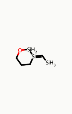 [SiH3]C=[Si]1CCCO[SiH2]1